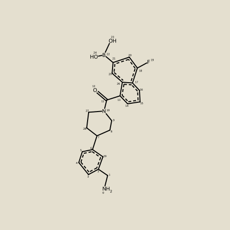 NCc1cccc(C2CCN(C(=O)c3cccc4c(F)cc(B(O)O)cc34)CC2)c1